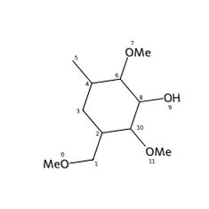 COCC1CC(C)C(OC)C(O)C1OC